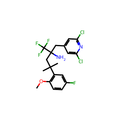 COc1ccc(F)cc1C(C)(C)CC(N)(Cc1cc(Cl)nc(Cl)c1)C(F)(F)F